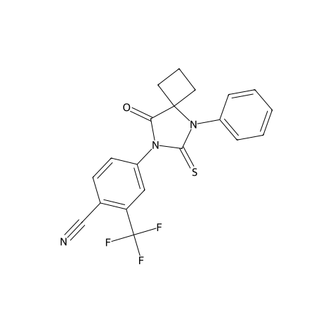 N#Cc1ccc(N2C(=O)C3(CCC3)N(c3ccccc3)C2=S)cc1C(F)(F)F